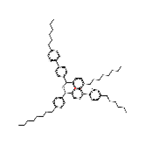 CCCCCCCCc1ccc(C(OC(c2ccc(CCCCCCCC)cc2)c2ccc(-c3ncc(CCCCCC)cn3)cc2)c2ccc(-c3ncc(CCCCCC)cn3)cc2)cc1